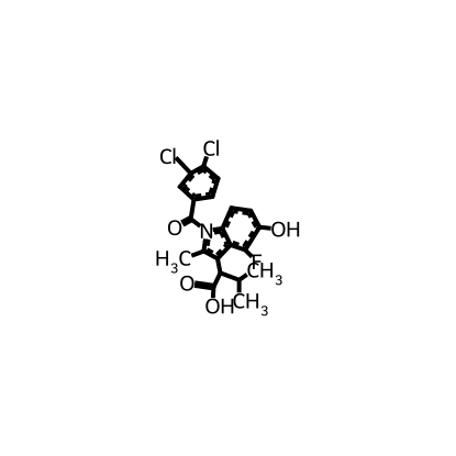 Cc1c(C(C(=O)O)C(C)C)c2c(F)c(O)ccc2n1C(=O)c1ccc(Cl)c(Cl)c1